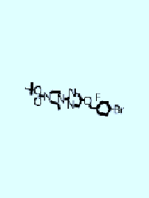 CC1CN(C(=O)OC(C)(C)C)CCN1c1ncc(OCc2ccc(Br)cc2F)cn1